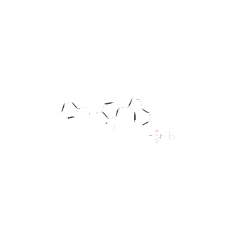 Cc1cc(O[Si](C)(C)C(C)(C)C)cc2c1C(c1ccc(OCc3ccccc3)c(C(C)C)c1)=CC2